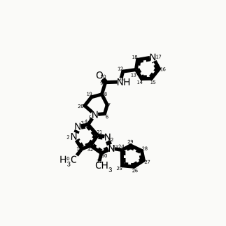 Cc1nnc(N2CCC(C(=O)NCc3cccnc3)CC2)c2nn(-c3ccccc3)c(C)c12